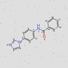 O=C(Nc1ccc(-n2ccnc2)cc1)c1ccccc1